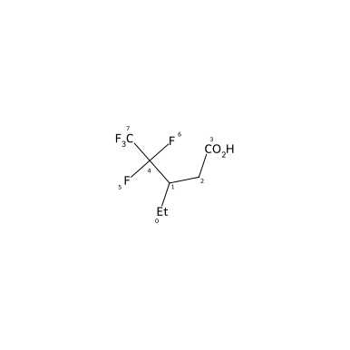 CCC(CC(=O)O)C(F)(F)C(F)(F)F